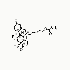 CC(=O)OCCCCC[C@@H]1CC2=CC(=O)CC[C@@H]2[C@@H]2[C@@H]1[C@@H]1CCC(=O)[C@@]1(C)C[C@@H]2F